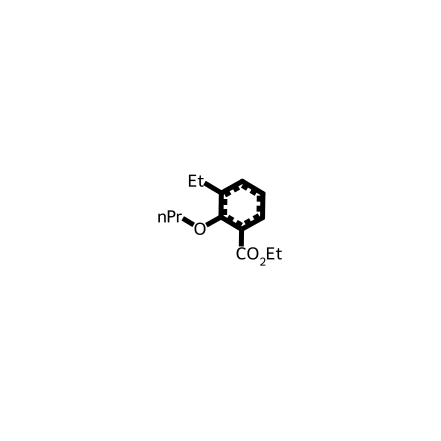 CCCOc1c(CC)cccc1C(=O)OCC